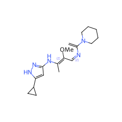 C=C(/N=C\C(OC)=C(/C)Nc1cc(C2CC2)[nH]n1)N1CCCCC1